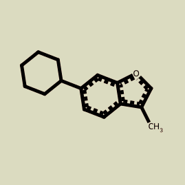 Cc1coc2cc(C3CCCCC3)ccc12